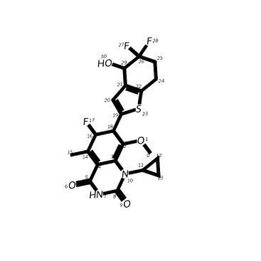 COC1=c2c(c(=O)[nH]c(=O)n2C2CC2)=C(C)C(F)C1c1cc2c(s1)CCC(F)(F)C2O